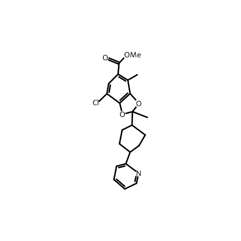 COC(=O)c1cc(Cl)c2c(c1C)OC(C)(C1CCC(c3ccccn3)CC1)O2